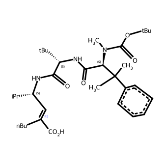 CCCC/C(=C\[C@@H](NC(=O)[C@@H](NC(=O)[C@@H](N(C)C(=O)OC(C)(C)C)C(C)(C)c1ccccc1)C(C)(C)C)C(C)C)C(=O)O